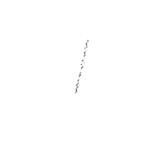 C=CCCCCCCCCCCCCCCCCCCCCCCCC=C